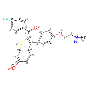 CCNCCOc1ccc(-c2c(C(=O)c3ccc(F)cc3)sc3cc(O)ccc23)cc1